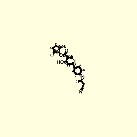 N#CCC(=O)Nc1ccc(-c2ncc(C(=O)ON3C(=O)CCC3=O)c(O)n2)cc1